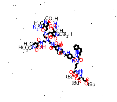 Cc1cc(C(=O)NCCN(CCCN(CCc2c(C(N)=O)c(C)n(CC(=O)O)c(=O)c2O)CCc2c(C(N)=O)c(C)n(CC(=O)O)c(=O)c2O)CCNC(=O)c2cc(C)n(CC(=O)NCC3CCC(C(=O)N[C@@H](Cc4ccc5ccccc5n4)C(=O)NCCCC[C@H](NC(=O)N[C@@H](CCC(=O)OC(C)(C)C)C(=O)OC(C)(C)C)C(=O)OC(C)(C)C)CC3)c(=O)c2O)c(O)c(=O)n1CC(=O)O